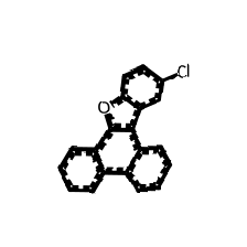 Clc1ccc2oc3c4ccccc4c4ccccc4c3c2c1